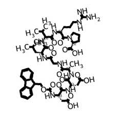 CC(C)C[C@H](NC(=O)CNC(=O)[C@H](C)NC(=O)[C@H](CC(=O)O)NC(=O)[C@H](CC(=O)O)NC(=O)OCC1c2ccccc2-c2ccccc21)C(=O)N[C@H](C(=O)N[C@@H](CCCNC(=N)N)C(=O)N1CCC[C@H]1C(=O)O)C(C)C